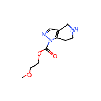 COCCOC(=O)n1ncc2c1CCNC2